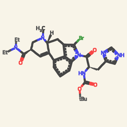 CCN(CC)C(=O)[C@@H]1C=C2c3cccc4c3c(c(Br)n4C(=O)[C@H](Cc3c[nH]cn3)NC(=O)OC(C)(C)C)C[C@H]2N(C)C1